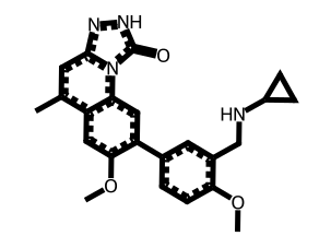 COc1ccc(-c2cc3c(cc2OC)c(C)cc2n[nH]c(=O)n23)cc1CNC1CC1